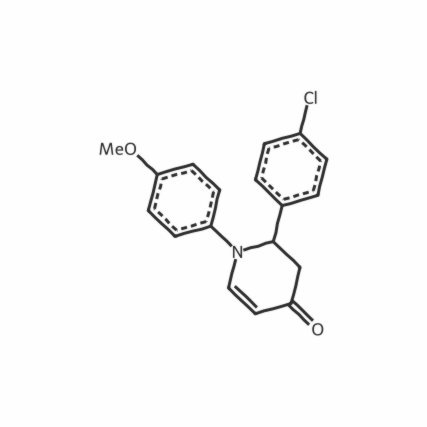 COc1ccc(N2C=CC(=O)CC2c2ccc(Cl)cc2)cc1